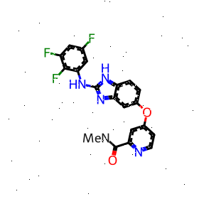 CNC(=O)c1cc(Oc2ccc3[nH]c(Nc4cc(F)cc(F)c4F)nc3c2)ccn1